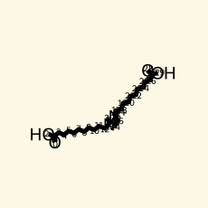 O=C(O)CCCCCCCCCCn1cc[n+](CCCCCCCCCCC(=O)O)c1